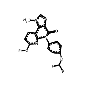 CCOc1ccc2c3c(ncn3C)c(=O)n(-c3ccc(OC(F)F)cc3)c2n1